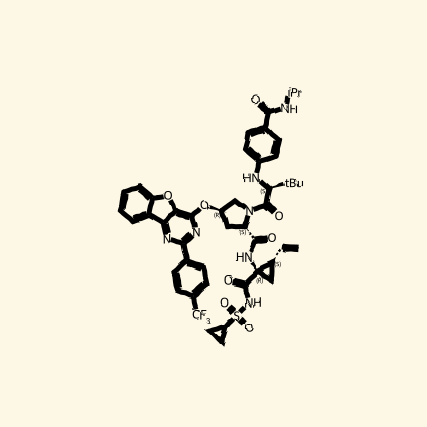 C=C[C@@H]1C[C@]1(NC(=O)[C@@H]1C[C@@H](Oc2nc(-c3ccc(C(F)(F)F)cc3)nc3c2oc2ccccc23)CN1C(=O)[C@@H](Nc1ccc(C(=O)NC(C)C)cc1)C(C)(C)C)C(=O)NS(=O)(=O)C1CC1